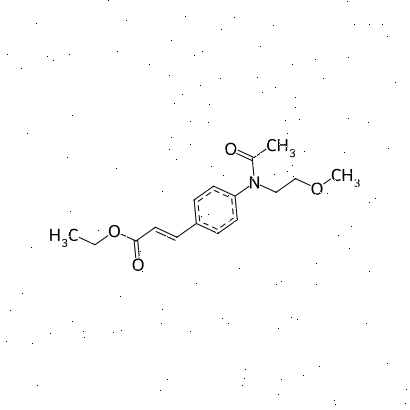 CCOC(=O)C=Cc1ccc(N(CCOC)C(C)=O)cc1